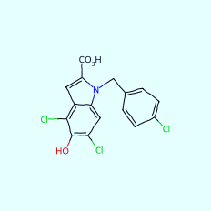 O=C(O)c1cc2c(Cl)c(O)c(Cl)cc2n1Cc1ccc(Cl)cc1